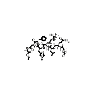 CCOC(=O)[C@H](C)NC(=O)CNC(=O)[C@H](Cc1ccccc1)NC(=O)[C@H](Cc1c[nH]cn1)NC(=O)[C@H](CCCNC(=N)N)NC(=O)[C@H](CC(C)C)NC(=O)[C@H](CCC(N)=O)NC(=O)[C@H](C)NC=O